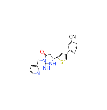 N#Cc1cccc(-c2csc([C@@H]3CC(=O)N(Cc4cccnc4)C(=N)N3)c2)c1